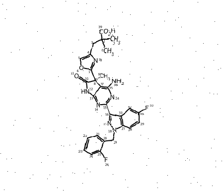 CC(C)(Cc1coc([C@]2(C)C(=O)Nc3nc(-c4nn(Cc5ccccc5F)c5ccc(F)cc45)nc(N)c32)n1)C(=O)O